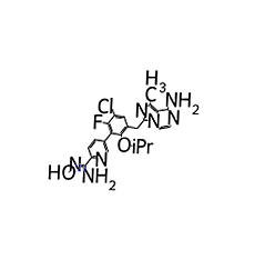 Cc1nc(Cc2cc(Cl)c(F)c(-c3ccc(/C(N)=N/O)nc3)c2OC(C)C)n2ccnc(N)c12